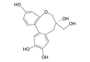 OC[C@]1(O)COc2cc(O)ccc2-c2cc(O)c(O)cc2C1